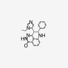 CCn1cncc1C1c2n[nH]c(=O)c3cccc(c23)NC1c1ccccc1